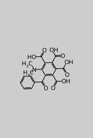 CN(C)c1c(C(=O)O)c(C(=O)O)c(C(=O)O)c(C(=O)O)c1C(=O)c1ccccc1